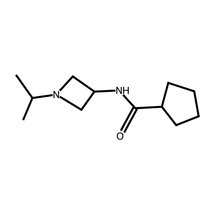 CC(C)N1CC(NC(=O)C2CCCC2)C1